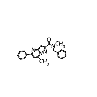 Cc1cc(-c2ccccc2)nc2cc(C(=O)N(C)Cc3ccccc3)nn12